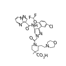 CC1(C(=O)O)CCN(C(=O)Cn2cc(NC(=O)c3cnn4cccnc34)c(-c3cc(Cl)ccc3OC(F)F)n2)C(CCN2CCOCC2)C1